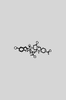 CC(=O)NCC12CN(S(=O)(=O)c3cc4cc(Cl)ccc4[nH]3)CC(=O)N1CC1(CCN(C(C)=O)CC1)N2C